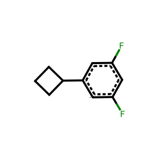 Fc1[c]c(C2CCC2)cc(F)c1